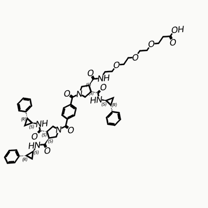 O=C(O)CCOCCOCCOCCNC(=O)[C@@H]1CN(C(=O)c2ccc(C(=O)N3C[C@@H](C(=O)N[C@H]4C[C@@H]4c4ccccc4)[C@H](C(=O)N[C@H]4C[C@@H]4c4ccccc4)C3)cc2)C[C@H]1C(=O)N[C@H]1C[C@@H]1c1ccccc1